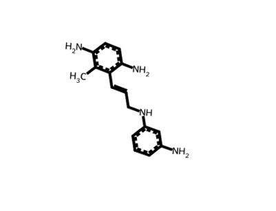 Cc1c(N)ccc(N)c1/C=C/CNc1cccc(N)c1